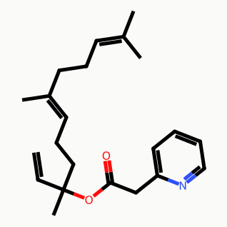 C=CC(C)(CC/C=C(\C)CCC=C(C)C)OC(=O)Cc1ccccn1